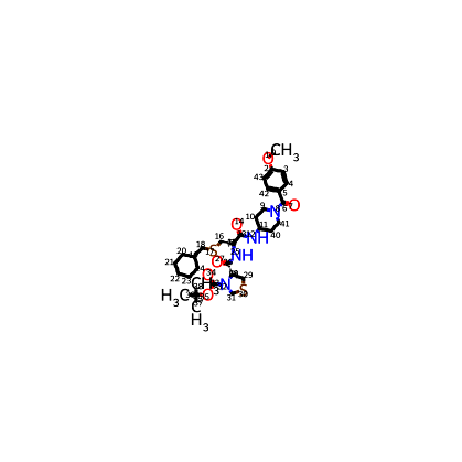 COc1ccc(C(=O)N2CCC(NC(=O)[C@H](CSCC3CCCCC3)NC(=O)[C@@H]3CSCN3C(=O)OC(C)(C)C)CC2)cc1